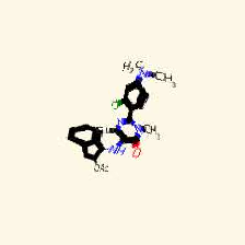 CCc1nc(-c2ccc(N(C)C)cc2Cl)n(C)c(=O)c1N[C@H]1c2ccccc2C[C@@H]1OC(C)=O